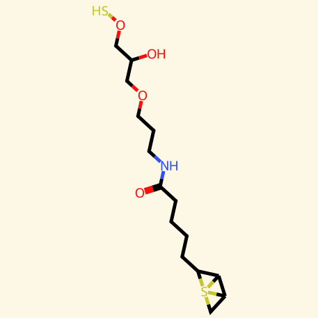 O=C(CCCCC1C2C3CS132)NCCCOCC(O)COS